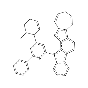 CC1CCC=CC1c1cc(-c2ccccc2)nc(-n2c3ccccc3c3ccc4c5c(sc4c32)C=CCC=C5)c1